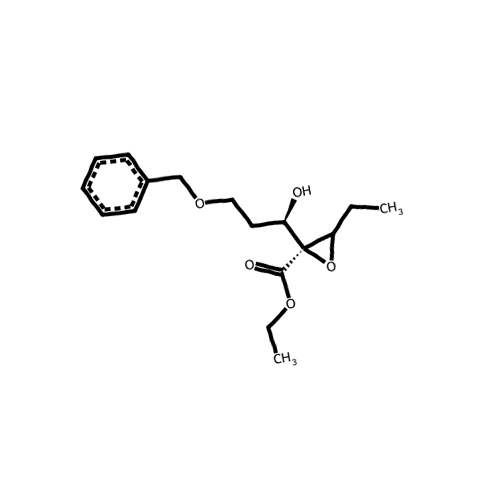 CCOC(=O)[C@@]1([C@H](O)CCOCc2ccccc2)OC1CC